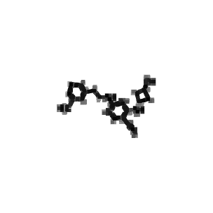 Cc1cccc(CCNc2ncc(C#N)c(N[C@H]3C[C@H](O)C3)n2)c1